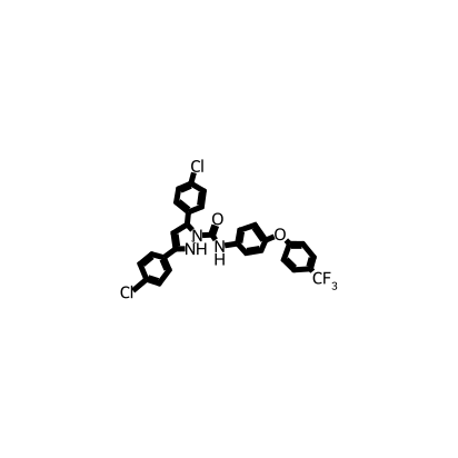 O=C(Nc1ccc(Oc2ccc(C(F)(F)F)cc2)cc1)N1NC(c2ccc(Cl)cc2)=CC1c1ccc(Cl)cc1